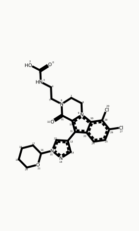 O=C(O)NCCN1CCn2c(c(-c3cnn(C4CCCCO4)c3)c3ccc(Cl)c(Cl)c32)C1=O